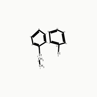 CC.CCc1ccccc1.CCc1ccccc1